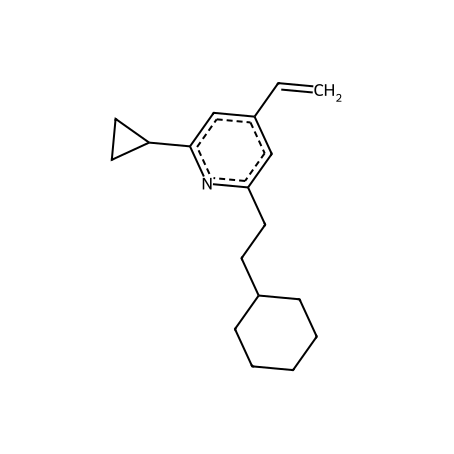 C=Cc1cc(CCC2CCCCC2)nc(C2CC2)c1